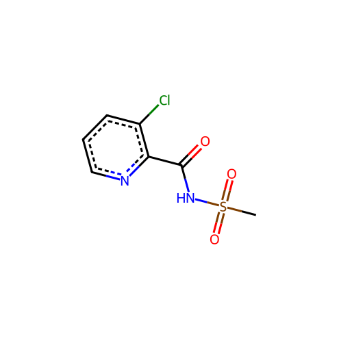 CS(=O)(=O)NC(=O)c1ncccc1Cl